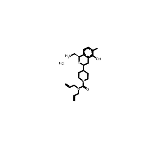 C=CCN(CC=C)C(=O)N1CCC([C@@H]2Cc3c(ccc(C)c3O)[C@H](CN)O2)CC1.Cl